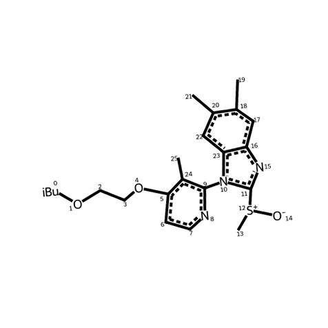 CCC(C)OCCOc1ccnc(-n2c([S+](C)[O-])nc3cc(C)c(C)cc32)c1C